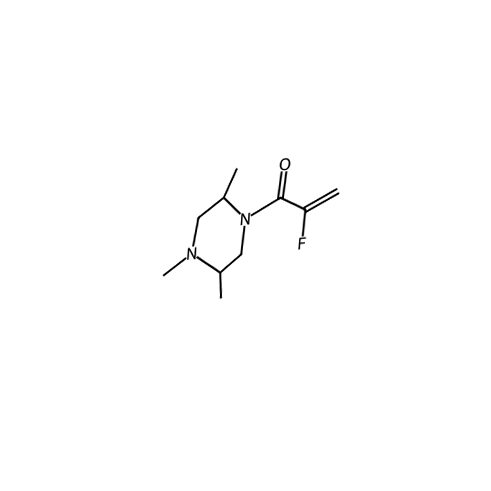 C=C(F)C(=O)N1CC(C)N(C)CC1C